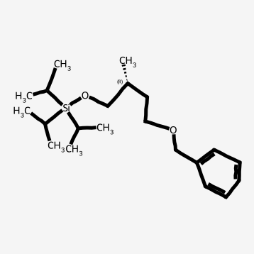 CC(C)[Si](OC[C@H](C)CCOCc1ccccc1)(C(C)C)C(C)C